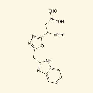 CCCCCC(CN(O)C=O)c1nnc(Cc2nc3ccccc3[nH]2)o1